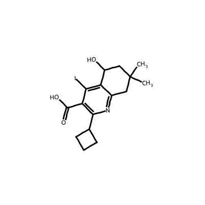 CC1(C)Cc2nc(C3CCC3)c(C(=O)O)c(I)c2C(O)C1